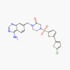 Nc1ncnc2cc(CN3CCN(S(=O)(=O)c4ccc(-c5ccc(Cl)s5)s4)CC3=O)ccc12